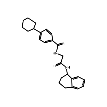 O=C(CNC(=O)c1ccc(C2CCCCC2)cc1)NC1CCCc2ccccc21